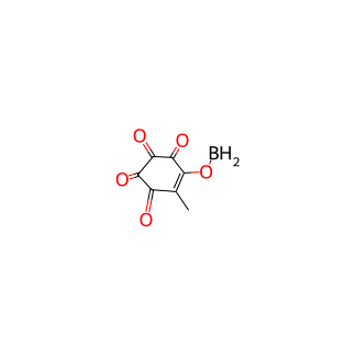 BOc1c(C)c(=O)c(=O)c(=O)c1=O